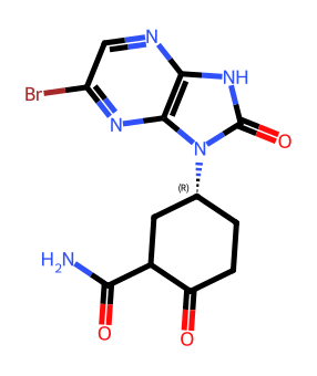 NC(=O)C1C[C@H](n2c(=O)[nH]c3ncc(Br)nc32)CCC1=O